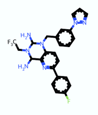 NC1c2nc(-c3ccc(F)cc3)ccc2N(Cc2cccc(-n3cccn3)c2)C(N)N1CC(F)(F)F